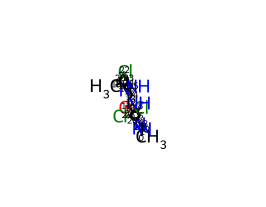 Cc1ncn(-c2cc(Cl)c(C(=O)NCCc3nc4c(C)cc(Cl)cc4[nH]3)c(Cl)c2)n1